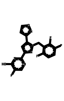 Oc1nc(-c2cc(-c3ccon3)n(Cc3c(F)ccc(F)c3F)n2)ncc1F